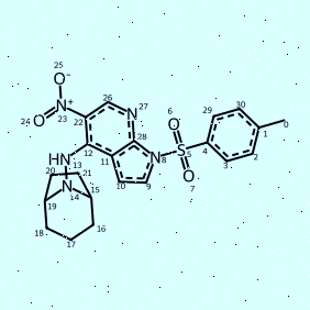 Cc1ccc(S(=O)(=O)n2ccc3c(NN4C5CCCC4CC5)c([N+](=O)[O-])cnc32)cc1